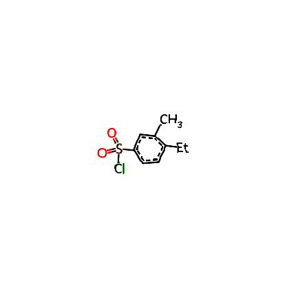 CCc1ccc(S(=O)(=O)Cl)cc1C